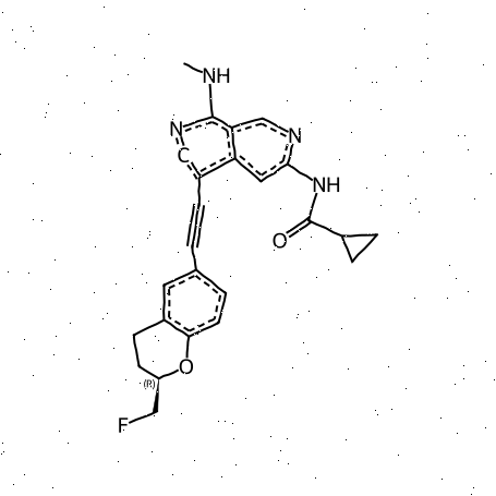 CNc1ncc(C#Cc2ccc3c(c2)CC[C@H](CF)O3)c2cc(NC(=O)C3CC3)ncc12